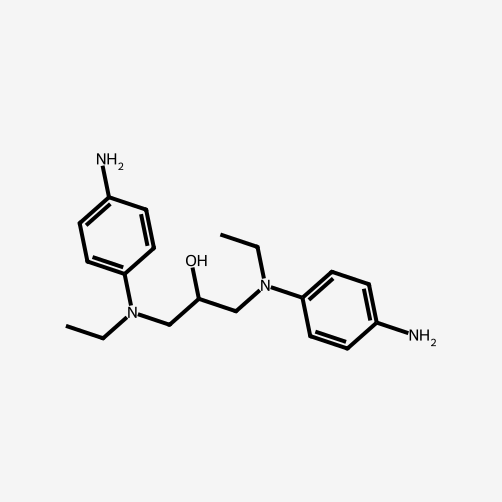 CCN(CC(O)CN(CC)c1ccc(N)cc1)c1ccc(N)cc1